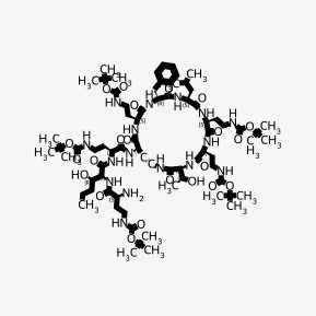 CCC[C@@H](O)[C@H](NC(=O)[C@@H](N)CCNC(=O)OC(C)(C)C)C(=O)N[C@@H](CCNC(=O)OC(C)(C)C)C(=O)N[C@H]1CCNC(=O)[C@H]([C@@H](C)O)NC(=O)[C@H](CCNC(=O)OC(C)(C)C)NC(=O)[C@H](CCNC(=O)OC(C)(C)C)NC(=O)[C@H](CC(C)C)NC(=O)[C@@H](Cc2ccccc2)NC(=O)[C@H](CCNC(=O)OC(C)(C)C)NC1=O